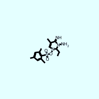 CCC1N(OS(=O)(=O)c2c(C)cc(C)cc2C)C=C(C)C(=N)N1N